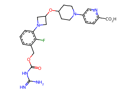 N=C(N)NC(=O)OCc1cccc(N2CC(OC3CCN(c4ccc(C(=O)O)nc4)CC3)C2)c1F